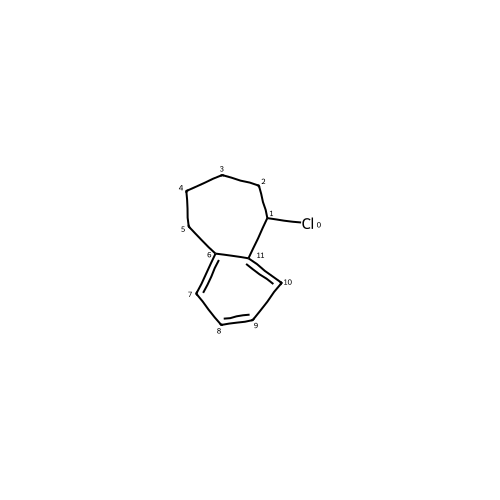 ClC1CCCCc2ccccc21